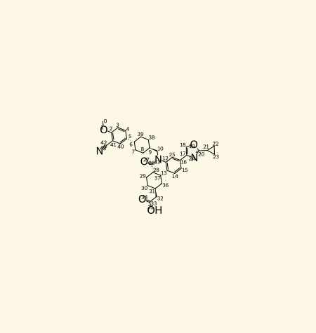 COc1ccc([C@H]2CC[C@H](CN(c3cccc(-c4coc(C5CC5)n4)c3)C(=O)[C@H]3CC[C@H](CC(=O)O)CC3)CC2)cc1C#N